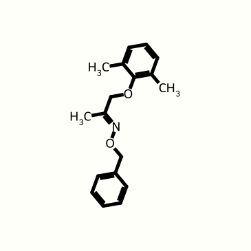 CC(COc1c(C)cccc1C)=NOCc1ccccc1